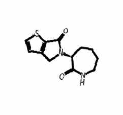 O=C1NCCCC[C@@H]1N1Cc2ccsc2C1=O